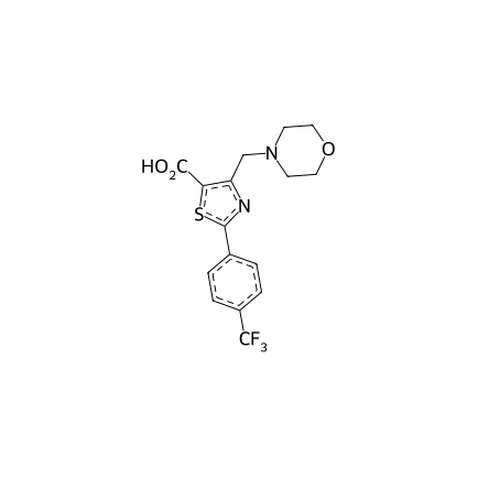 O=C(O)c1sc(-c2ccc(C(F)(F)F)cc2)nc1CN1CCOCC1